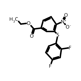 CCOC(=O)c1ccc([N+](=O)[O-])c(Sc2ccc(F)cc2F)c1